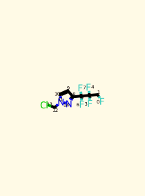 FCC(F)(F)C(F)(F)c1ccn(CCl)n1